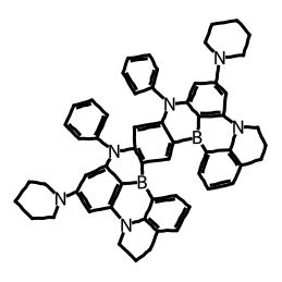 c1ccc(N2c3cc4c(cc3B3c5cccc6c5N(CCC6)c5cc(N6CCCCC6)cc2c53)B2c3cccc5c3N(CCC5)c3cc(N5CCCCC5)cc(c32)N4c2ccccc2)cc1